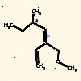 C=C/C(=C\[C@H](C)CC)COC